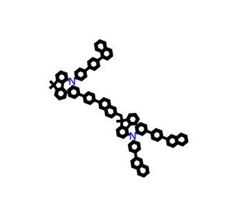 CC1(C)c2ccccc2-c2c(N(c3ccc(-c4ccc(-c5cccc6ccccc56)cc4)cc3)c3cccc(-c4ccc(-c5ccc6cc(CC7(C)c8ccccc8-c8c(N(c9ccc(-c%10ccc%11ccccc%11c%10)cc9)c9cccc(-c%10ccc(-c%11ccc%12ccccc%12c%11)cc%10)c9)cccc87)ccc6c5)cc4)c3)cccc21